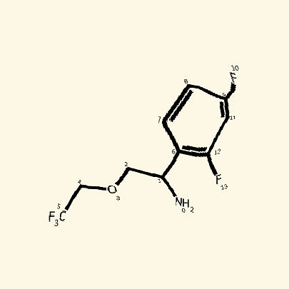 NC(COCC(F)(F)F)c1ccc(F)cc1F